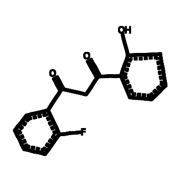 O=C(CC(=O)c1ccccc1F)c1ccccc1O